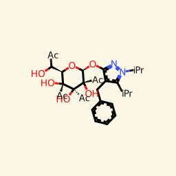 CC(=O)C(O)[C@H]1O[C@@H](Oc2nn(C(C)C)c(C(C)C)c2Cc2ccccc2)[C@@](O)(C(C)=O)[C@](O)(C(C)=O)[C@@]1(O)C(C)=O